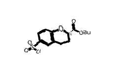 CC(C)COC(=O)[C@@H]1CCc2cc(S(=O)(=O)Cl)ccc2O1